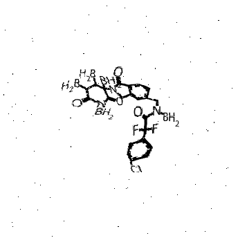 BC1C(=O)N(B)C(=O)C(B)(N2Cc3cc(CN(B)C(=O)C(F)(F)c4ccc(Cl)cc4)ccc3C2=O)C1B